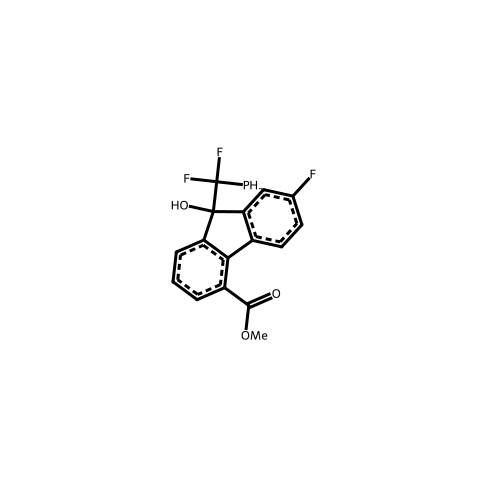 COC(=O)c1cccc2c1-c1ccc(F)cc1C2(O)C(F)(F)P